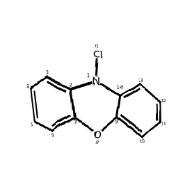 ClN1c2ccccc2Oc2ccccc21